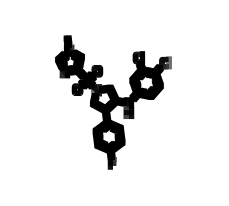 Cn1cnc(S(=O)(=O)N2CC(Nc3ccc(Cl)c(Cl)c3)C(c3ccc(F)cc3)C2)c1